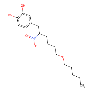 CCCCCOCCCCC(Cc1ccc(O)c(O)c1)[N+](=O)[O-]